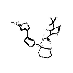 Cn1cc(-c2cccc([C@H](NC(=O)c3nccc(C(F)(F)F)c3Cl)[C@@H]3CCCCN3)c2)cn1